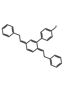 Fc1ccc(-c2cc(=CCc3ccccc3)ccc2=CCc2ccccc2)cc1